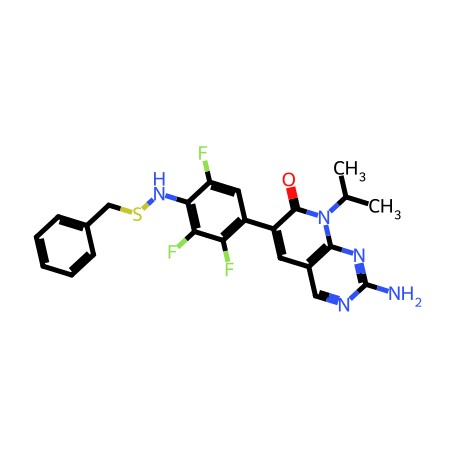 CC(C)n1c(=O)c(-c2cc(F)c(NSCc3ccccc3)c(F)c2F)cc2cnc(N)nc21